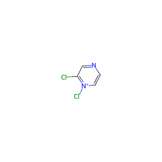 Clc1cncc[n+]1Cl